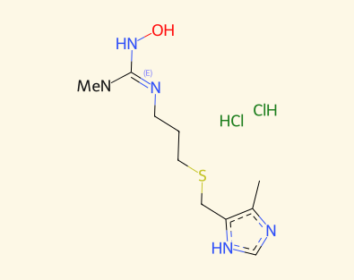 CN/C(=N\CCCSCc1[nH]cnc1C)NO.Cl.Cl